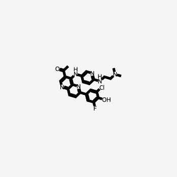 CC(=O)c1cnc2ccc(-c3cc(F)c(O)c(Cl)c3)nc2c1Nc1ccc(NCCN(C)C)nc1